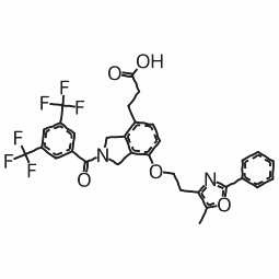 Cc1oc(-c2ccccc2)nc1CCOc1ccc(CCC(=O)O)c2c1CN(C(=O)c1cc(C(F)(F)F)cc(C(F)(F)F)c1)C2